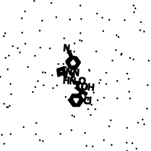 CC(O)(CC(=O)Nc1nc2ccc(C#N)cc2n1C1(C)CCC1)c1ccccc1Cl